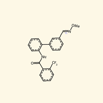 CO/N=C/c1cccc(-c2ccccc2NC(=O)c2ccccc2C(F)(F)F)c1